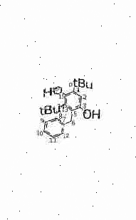 CC(C)(C)c1cc(O)c(Cc2ccccc2)c(C(C)(C)C)c1O